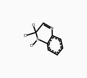 ClN1c2ccccc2N=CC1(Cl)Cl